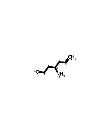 C=CCC(N)CC[O]